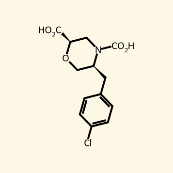 O=C(O)[C@H]1CN(C(=O)O)[C@@H](Cc2ccc(Cl)cc2)CO1